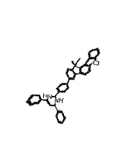 CC1(C)c2ccc(-c3ccc(C4NC(c5ccccc5)=CC(c5ccccc5)N4)cc3)cc2-c2ccc3oc4ccccc4c3c21